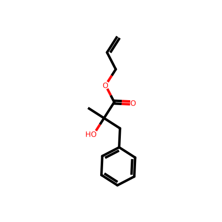 C=CCOC(=O)C(C)(O)Cc1ccccc1